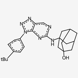 CC(C)(C)c1ccc(-n2nnc3cnc(NC45CC6CC(CC(O)(C6)C4)C5)nc32)cc1